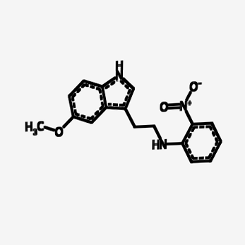 COc1ccc2[nH]cc(CCNc3ccccc3[N+](=O)[O-])c2c1